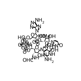 CO[C@H]1[C@H](n2cnc3c(N)ncnc32)OC(COP(=O)(O)OP(=O)(O)OP(=O)(O)OC[C@H]2O[C@@H](n3c[n+](C)c4c(=O)[nH]c(N)nc43)[C@H](O)[C@@H]2CNC=O)[C@H]1P(=O)([O-])OC[C@H]1O[C@@H](n2ccc(=O)[nH]c2=O)[C@H](O)[C@@H]1O